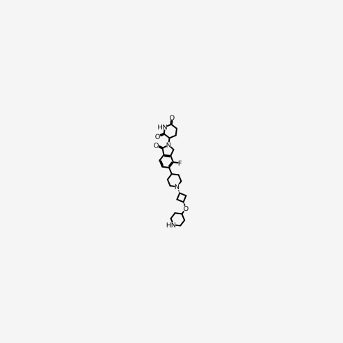 O=C1CCC(N2Cc3c(ccc(C4CCN([C@H]5C[C@H](OC6CCNCC6)C5)CC4)c3F)C2=O)C(=O)N1